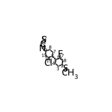 CSc1ccc(-c2ccc(N=C=S)cc2Cl)c(F)c1